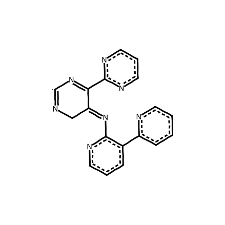 [C]1=NCC(=Nc2ncccc2-c2ccccn2)C(c2ncccn2)=N1